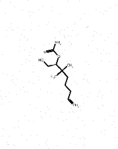 C=CCCCC(C)(C)[C@@H](CO)OC(N)=O